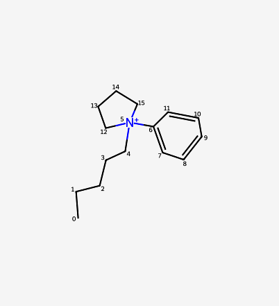 CCCCC[N+]1(c2ccccc2)CCCC1